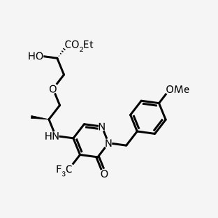 CCOC(=O)[C@@H](O)COC[C@H](C)Nc1cnn(Cc2ccc(OC)cc2)c(=O)c1C(F)(F)F